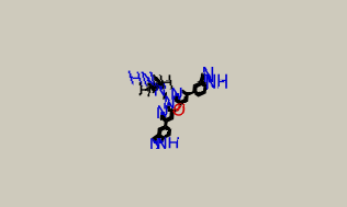 c1cc2[nH]ncc2cc1-c1cnc2c(c1)Oc1cc(-c3ccc4[nH]ncc4c3)cnc1N2CCN1C[C@H]2C[C@@H]1CN2